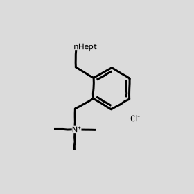 CCCCCCCCc1ccccc1C[N+](C)(C)C.[Cl-]